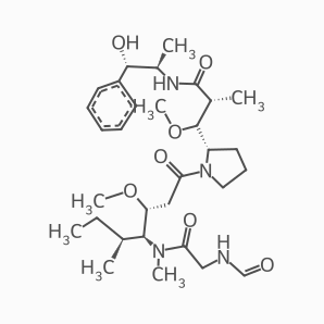 CC[C@H](C)[C@@H]([C@@H](CC(=O)N1CCC[C@H]1C(OC)[C@@H](C)C(=O)N[C@H](C)[C@@H](O)c1ccccc1)OC)N(C)C(=O)CNC=O